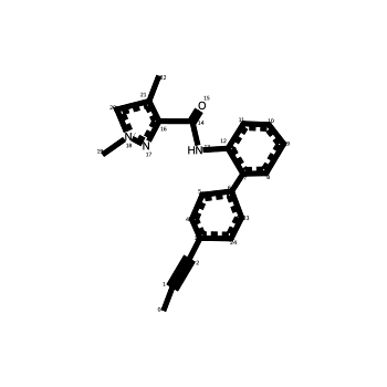 CC#Cc1ccc(-c2ccccc2NC(=O)c2nn(C)cc2C)cc1